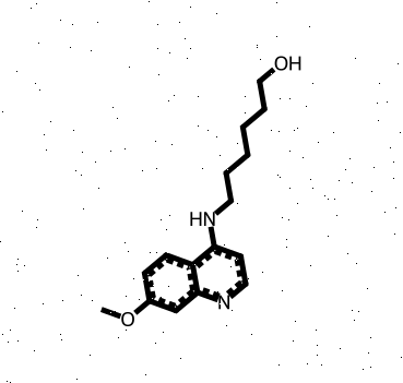 COc1ccc2c(NCCCCCCO)ccnc2c1